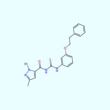 CCn1nc(C)cc1C(=O)NC(=S)Nc1cccc(OCCc2ccccc2)c1